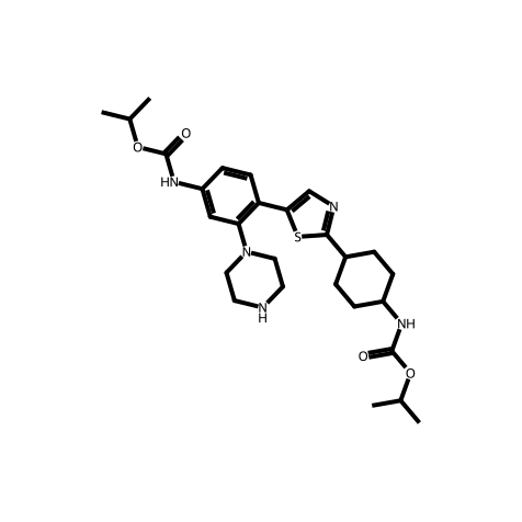 CC(C)OC(=O)Nc1ccc(-c2cnc(C3CCC(NC(=O)OC(C)C)CC3)s2)c(N2CCNCC2)c1